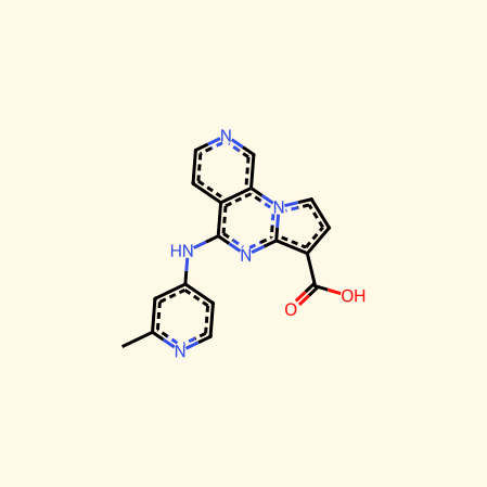 Cc1cc(Nc2nc3c(C(=O)O)ccn3c3cnccc23)ccn1